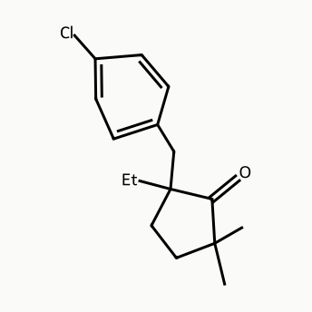 [CH2]CC1(Cc2ccc(Cl)cc2)CCC(C)(C)C1=O